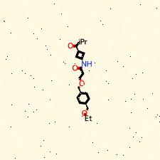 CCOC[C@H]1CC[C@@H](COCCC(=O)N[C@H]2C[C@H](C(=O)C(C)C)C2)CC1